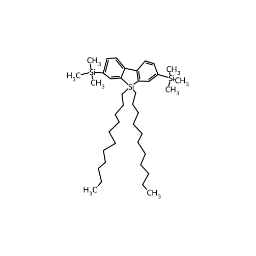 CCCCCCCCCCC[Si]1(CCCCCCCCCCC)c2cc([Si](C)(C)C)ccc2-c2ccc([Si](C)(C)C)cc21